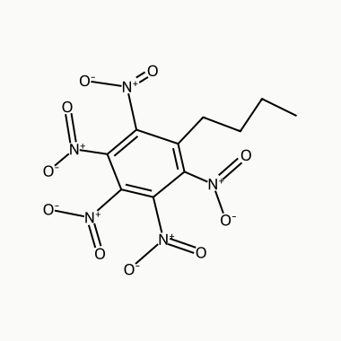 CCCCc1c([N+](=O)[O-])c([N+](=O)[O-])c([N+](=O)[O-])c([N+](=O)[O-])c1[N+](=O)[O-]